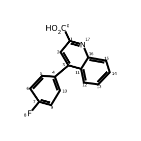 O=C(O)c1cc(-c2ccc(F)cc2)c2ccccc2n1